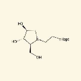 CCCCCCCCCN1C[C@H](O)[C@@H](O)[C@@H]1CO